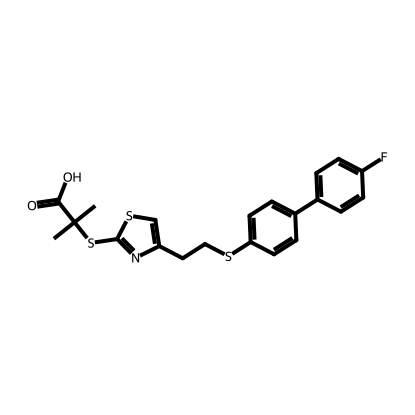 CC(C)(Sc1nc(CCSc2ccc(-c3ccc(F)cc3)cc2)cs1)C(=O)O